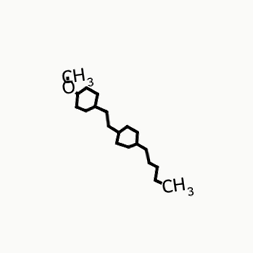 CCCCCC1CCC(CCC2CCC(OC)CC2)CC1